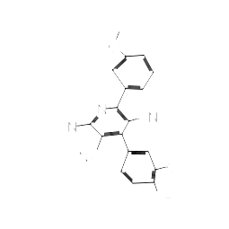 CCOc1cccc(-c2nc(N)c(C#N)c(-c3ccc(C(F)(F)F)c(Cl)c3)c2C#N)c1